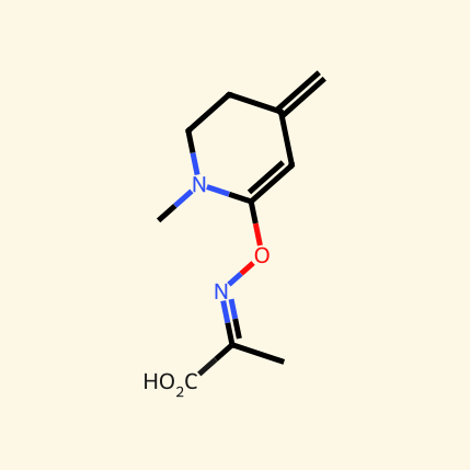 C=C1C=C(O/N=C(\C)C(=O)O)N(C)CC1